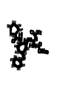 CCC(=O)N=C(NC(=O)OC)Nc1cc(Sc2ccccc2)ccc1NC(=O)C1CCCCC1